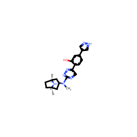 CN(c1ncc(-c2ccc(-c3cn[nH]c3)cc2O)nn1)C1C[C@H]2CC[C@@H](C1)N2